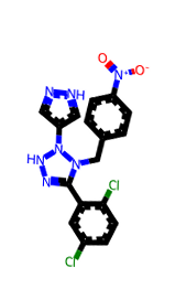 O=[N+]([O-])c1ccc(CN2C(c3cc(Cl)ccc3Cl)=NNN2c2cn[nH]c2)cc1